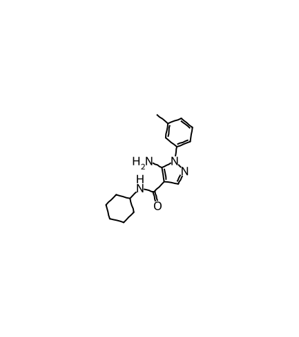 Cc1cccc(-n2ncc(C(=O)NC3CCCCC3)c2N)c1